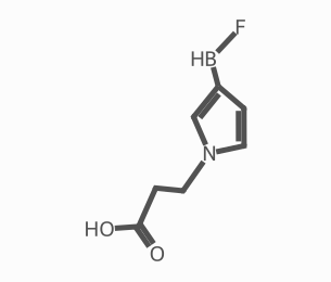 O=C(O)CCn1ccc(BF)c1